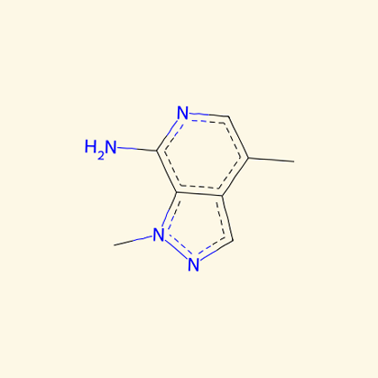 Cc1cnc(N)c2c1cnn2C